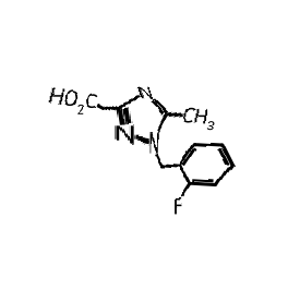 Cc1nc(C(=O)O)nn1Cc1ccccc1F